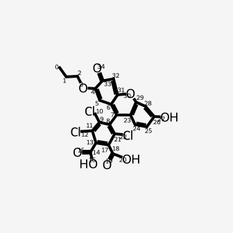 CCCOc1cc2c(-c3c(Cl)c(Cl)c(C(=O)O)c(C(=O)O)c3Cl)c3ccc(O)cc3oc-2cc1=O